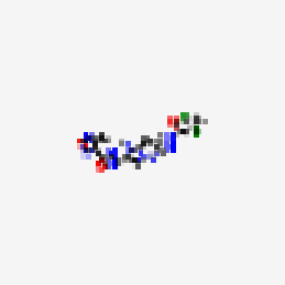 CCC(F)(F)CC(=O)NCc1cnn2cc(CNC(=O)c3nonc3C)nc2c1